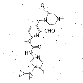 CN1CCN(Cc2ccc(N(C)C(=O)Nc3cc(NC4CC4)c(I)cn3)nc2C=O)C(=C=O)C1